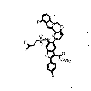 CNC(=O)c1c(-c2ccc(F)cc2)oc2cc(NS(=O)(=O)CCC(F)F)c(-c3ccc4c(n3)-c3cc5c(F)cccc5n3CO4)cc12